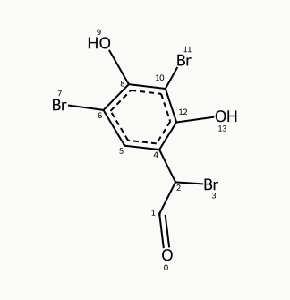 O=CC(Br)c1cc(Br)c(O)c(Br)c1O